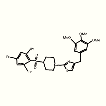 COc1cc(Cc2csc(N3CCC(S(=O)(=O)c4c(C(C)C)cc(C(C)C)cc4C(C)C)CC3)n2)cc(OC)c1OC